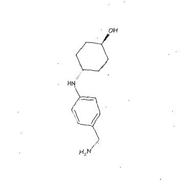 NCc1ccc(N[C@H]2CC[C@H](O)CC2)cc1